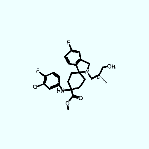 COC(=O)C1(Nc2ccc(F)c(Cl)c2)CCC2(CC1)c1ccc(F)cc1CN2C[C@@H](C)CO